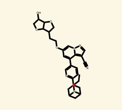 CCCN1C2CC1CN(c1ccc(-c3cc(OCCC4COC5C(O)COC45)cn4ncc(C#N)c34)cn1)C2